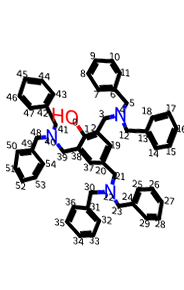 Oc1c(CN(Cc2ccccc2)Cc2ccccc2)cc(CN(Cc2ccccc2)Cc2ccccc2)cc1CN(Cc1ccccc1)Cc1ccccc1